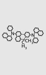 CC1(C)c2cc(N(c3ccccc3)c3cccc4ccccc34)ccc2-c2ccc(N(c3ccccc3)c3cccc4ccccc34)c3cccc1c23